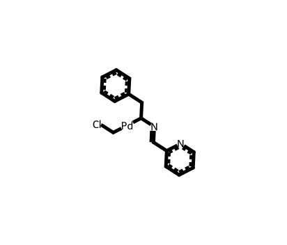 Cl[CH2][Pd][CH](Cc1ccccc1)N=Cc1ccccn1